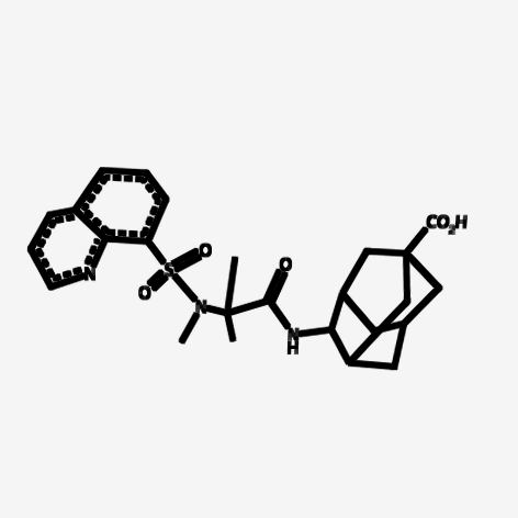 CN(C(C)(C)C(=O)NC1C2CC3CC1CC(C(=O)O)(C3)C2)S(=O)(=O)c1cccc2cccnc12